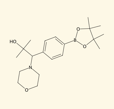 CC(C)(O)C(c1ccc(B2OC(C)(C)C(C)(C)O2)cc1)N1CCOCC1